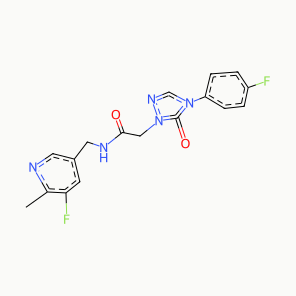 Cc1ncc(CNC(=O)Cn2ncn(-c3ccc(F)cc3)c2=O)cc1F